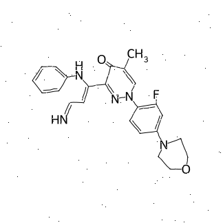 Cc1cn(-c2ccc(N3CCOCC3)cc2F)nc(/C(=C/C=N)Nc2ccccc2)c1=O